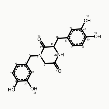 O=C1CN(Cc2ccc(O)c(O)c2)C(=O)C(Cc2ccc(O)c(O)c2)N1